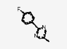 Cc1cnc(-c2ccc(F)cc2)nc1